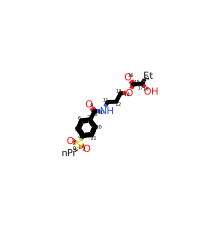 CCCS(=O)(=O)c1ccc(C(=O)NCCCOC(=O)C(O)CC)cc1